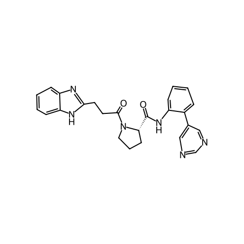 O=C(Nc1ccccc1-c1cncnc1)[C@@H]1CCCN1C(=O)CCc1nc2ccccc2[nH]1